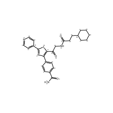 NC(=O)c1ccc(-c2nc(-c3ccncc3)sc2C(=O)CNC(=O)[CH]CC2CCCCC2)cc1